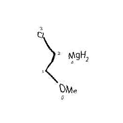 COCCCl.[MgH2]